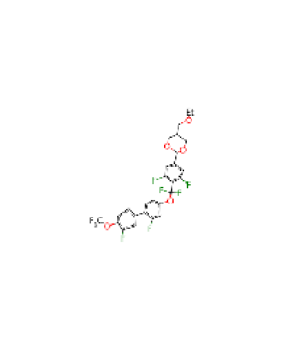 CCOCC1COC(c2cc(F)c(C(F)(F)Oc3ccc(-c4ccc(OC(F)(F)F)c(F)c4)c(F)c3)c(F)c2)OC1